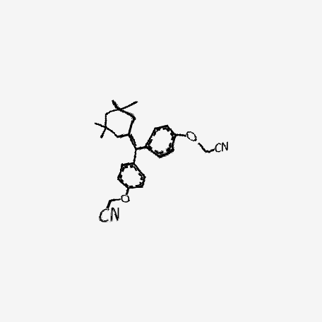 CC1(C)CC(=C(c2ccc(OCC#N)cc2)c2ccc(OCC#N)cc2)CC(C)(C)C1